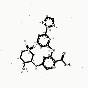 NC(=O)c1ncc(N[C@@H]2CS(=O)(=O)CC[C@@H]2N)cc1Nc1cccc(-n2nccn2)n1